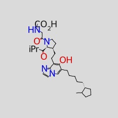 CC(C)C(=O)[C@@H]1[C@H](CCc2c(O)c(CCCCC[C@@H]3CCCC3C)cn3ccnc23)CCN1C(=O)CNC(=O)O